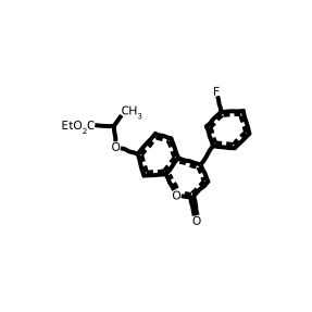 CCOC(=O)C(C)Oc1ccc2c(-c3cccc(F)c3)cc(=O)oc2c1